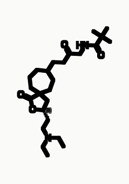 CCN(CC)CC[C@H]1CC2(CCCC(CCC(=O)CNC(=O)C(C)(C)C)CC2)C(=O)O1